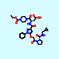 CCOC(=O)N1CCN(C(=O)[C@H](CC(=O)O)NC(=O)c2cc(OCC(=O)N3CCC[C@H]3C(=O)NCC3CC3)n(-c3ccccc3)n2)CC1